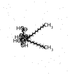 CCCCCCCCCCCCCC(=O)N(CCCCCCCCCCCC)[C@@H]1O[C@H](CO)[C@@H](O)[C@H](O)[C@H]1NC(=O)CCC(=O)O